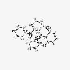 O=P12c3c4cccc3Oc3cccc(c31)N(c1ccccc1)c1cccc(c12)O4